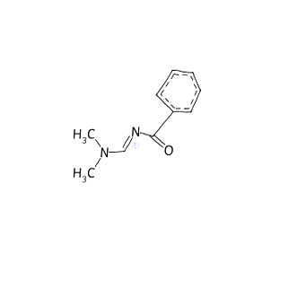 CN(C)/C=N/C(=O)c1ccccc1